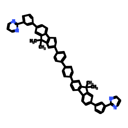 CC1(C)c2cc(-c3ccc(-c4ccc(-c5ccc6c(c5)C(C)(C)c5cc(-c7cccc(-c8ncccn8)c7)ccc5-6)cc4)cc3)ccc2-c2ccc(-c3cccc(-c4ncccn4)c3)cc21